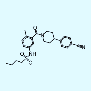 CCCCS(=O)(=O)Nc1ccc(C)c(C(=O)N2CCC(c3ccc(C#N)cc3)CC2)c1